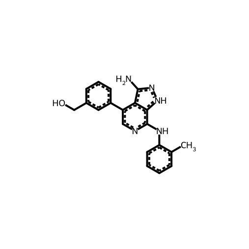 Cc1ccccc1Nc1ncc(-c2cccc(CO)c2)c2c(N)n[nH]c12